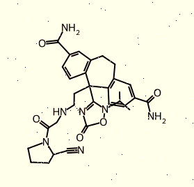 CC(C)n1oc(=O)nc1C1(C[C@H](C)NCC(=O)N2CCCC2C#N)c2ccc(C(N)=O)cc2CCc2cc(C(N)=O)ccc21